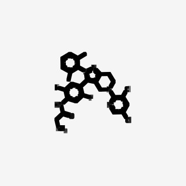 Cc1cccc(C)c1-n1nc2c(c1-c1cc(F)c(NC(=O)CN)cc1F)CN(c1ncc(Cl)cc1Cl)CC2